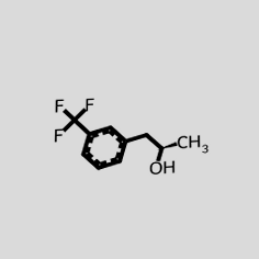 C[C@@H](O)Cc1cccc(C(F)(F)F)c1